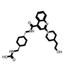 O=C(O)NC[C@H]1CC[C@H](CNC(=O)c2cc(N3CCC(CCO)CC3)nc3ccccc23)CC1